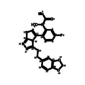 CN(C(=O)C(C)(C)C)c1cc(F)ccc1-c1csc2nnc(SCc3ccc4c(c3)OCO4)n12